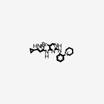 Brc1cnc(Nc2ccccc2N2CCCCC2)nc1Nc1cc(C2CC2)[nH]n1